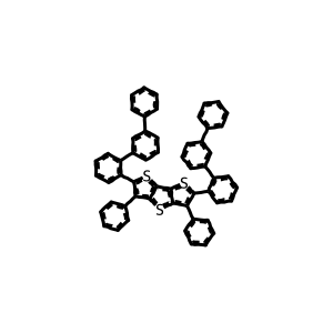 c1ccc(-c2cccc(-c3ccccc3-c3sc4c(sc5c(-c6ccccc6)c(-c6ccccc6-c6cccc(-c7ccccc7)c6)sc54)c3-c3ccccc3)c2)cc1